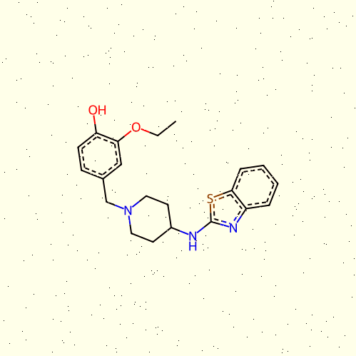 CCOc1cc(CN2CCC(Nc3nc4ccccc4s3)CC2)ccc1O